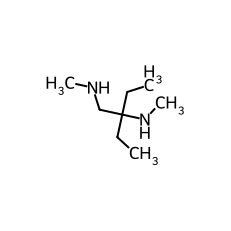 CCC(CC)(CNC)NC